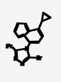 CC(C)c1nnc(Br)n1-c1ccc(C2CC2)c2ccccc12